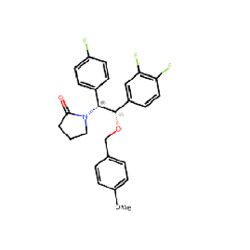 COc1ccc(CO[C@@H](c2ccc(F)c(F)c2)[C@@H](c2ccc(F)cc2)N2CCCC2=O)cc1